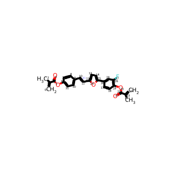 C=C(C)C(=O)Oc1ccc(/C=C/c2ccc(-c3ccc(OC(=O)C(=C)C)c(F)c3)o2)cc1